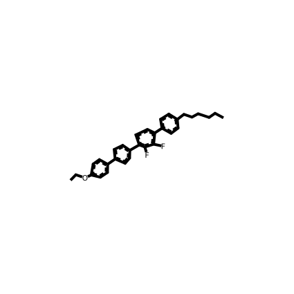 CCCCCCc1ccc(-c2ccc(-c3ccc(-c4ccc(OCC)cc4)cc3)c(F)c2F)cc1